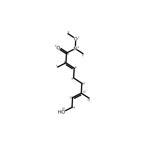 CON(C)C(=O)C(C)=CCCC(C)=CCO